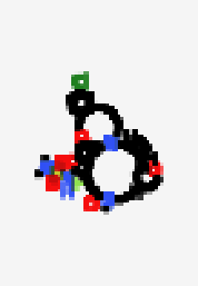 CN1CC[C@H]2CCO[C@@H](C2)[C@@H]2CC[C@H]2CN2CCCCc3cc(Cl)ccc3COc3ccc(cc32)[C@](F)(C(=O)NS(=O)(=O)N(C)C)CC1=O